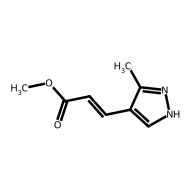 COC(=O)C=Cc1c[nH]nc1C